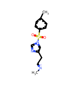 C/N=C/Cc1cn(S(=O)(=O)c2ccc(C)cc2)cn1